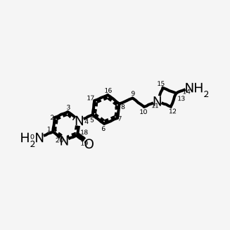 Nc1ccn(-c2ccc(CCN3CC(N)C3)cc2)c(=O)n1